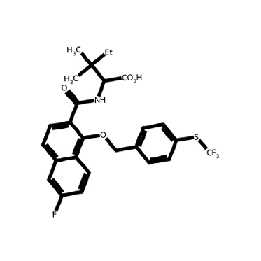 CCC(C)(C)C(NC(=O)c1ccc2cc(F)ccc2c1OCc1ccc(SC(F)(F)F)cc1)C(=O)O